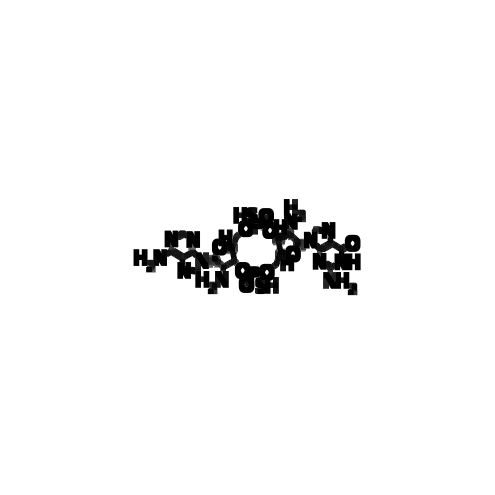 Nc1nc2c(ncn2[C@@H]2O[C@@H]3COP(=O)(S)OC4C(N)[C@H](n5cnc6c(N)ncnc65)O[C@@H]4COP(=O)(S)O[C@@H]3[C@@H]2N)c(=O)[nH]1